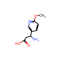 COc1ccc(C(N)CC(=O)O)cn1